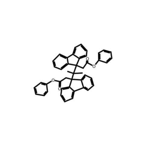 CC(C)(C1(CC(=O)Oc2ccccc2)c2ccccc2-c2ccccc21)C1(CC(=O)Oc2ccccc2)c2ccccc2-c2ccccc21